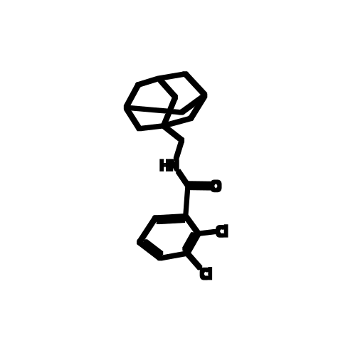 O=C(NCC12CC3CC(CC(C3)C1)C2)c1cccc(Cl)c1Cl